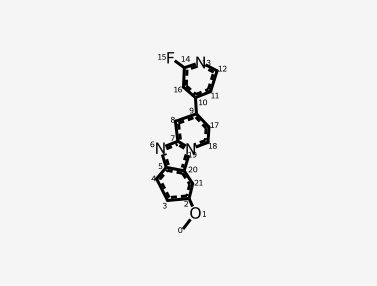 COc1ccc2nc3cc(-c4ccnc(F)c4)ccn3c2c1